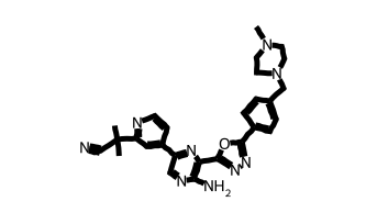 CN1CCN(Cc2ccc(-c3nnc(-c4nc(-c5ccnc(C(C)(C)C#N)c5)cnc4N)o3)cc2)CC1